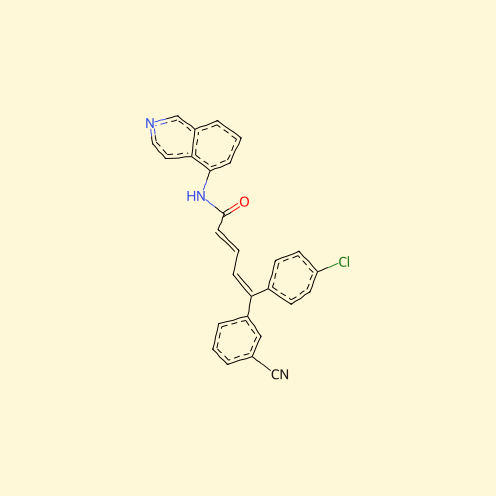 N#Cc1cccc(C(=CC=CC(=O)Nc2cccc3cnccc23)c2ccc(Cl)cc2)c1